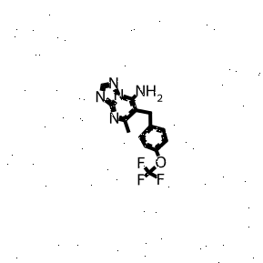 Cc1nc2ncnn2c(N)c1Cc1ccc(OC(F)(F)F)cc1